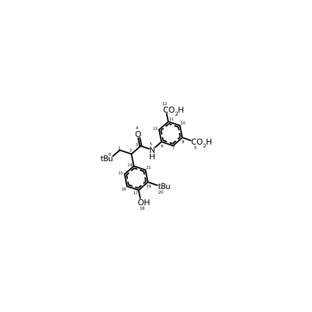 CC(C)(C)CC(C(=O)Nc1cc(C(=O)O)cc(C(=O)O)c1)c1ccc(O)c(C(C)(C)C)c1